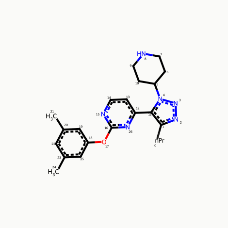 CCCc1nnn(C2CCNCC2)c1-c1ccnc(Oc2cc(C)cc(C)c2)n1